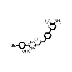 CCN(C)/C(CCCc1ccc(-c2ccc(N)c(C)n2)cc1)=N\N(C=O)Cc1ccc(C(C)(C)C)cc1